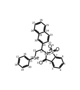 O=C1c2ccccc2S(=O)(=O)N1C(C[Se]c1ccccc1)c1ccc2ccccc2c1